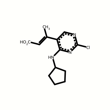 CC(=CC(=O)O)c1cnc(Cl)nc1NC1CCCC1